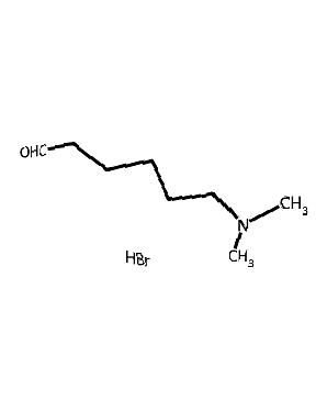 Br.CN(C)CCCCCC=O